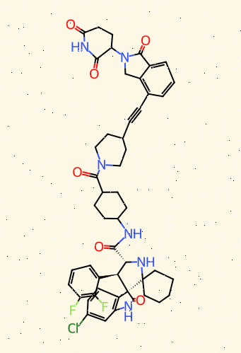 O=C1CCC(N2Cc3c(C#CC4CCN(C(=O)C5CCC(NC(=O)[C@@H]6NC7(CCCCC7)[C@@]7(C(=O)Nc8cc(Cl)ccc87)[C@H]6c6cccc(F)c6F)CC5)CC4)cccc3C2=O)C(=O)N1